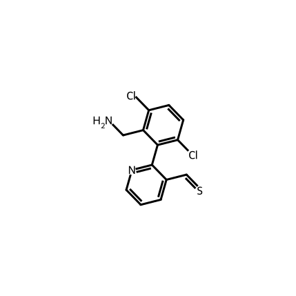 NCc1c(Cl)ccc(Cl)c1-c1ncccc1C=S